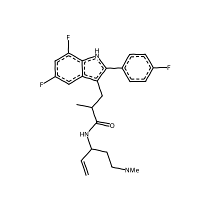 C=CC(CCNC)NC(=O)C(C)Cc1c(-c2ccc(F)cc2)[nH]c2c(F)cc(F)cc12